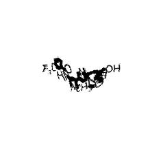 Cc1ncc(NC(=O)c2cccc(C(F)(F)F)c2)cc1-c1cnc2c(c1)N1CCOC[C@H]1[C@](F)(CO)C2